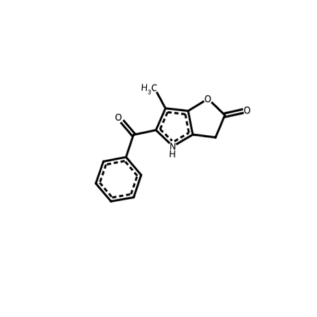 Cc1c(C(=O)c2ccccc2)[nH]c2c1OC(=O)C2